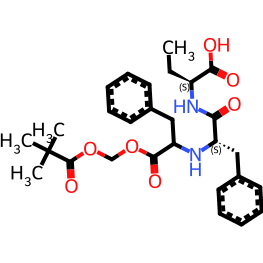 CC[C@H](NC(=O)[C@H](Cc1ccccc1)NC(Cc1ccccc1)C(=O)OCOC(=O)C(C)(C)C)C(=O)O